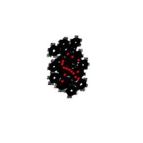 c1ccc([Si](c2ccccc2)(c2ccccc2)c2ccccc2-c2ccc(-n3c4ccccc4c4ccccc43)c(-c3nc(-n4c5ccccc5c5ccccc54)nc(-n4c5ccccc5c5cc(-c6cccc([Si](c7ccccc7)(c7ccccc7)c7ccccc7-c7cccc(-c8cc(-n9c%10ccccc%10c%10ccccc%109)nc(-n9c%10ccccc%10c%10ccccc%109)c8)c7)c6)ccc54)n3)c2)cc1